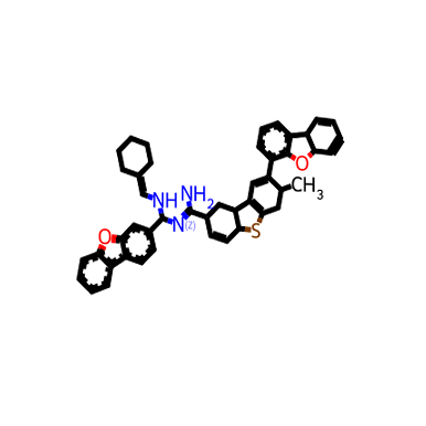 CC1CC2=C(C=C1c1cccc3c1OC1C#CC=CC31)C1CC(/C(N)=N/C(NC=C3CCCCC3)c3ccc4c(c3)oc3ccccc34)C=CC1S2